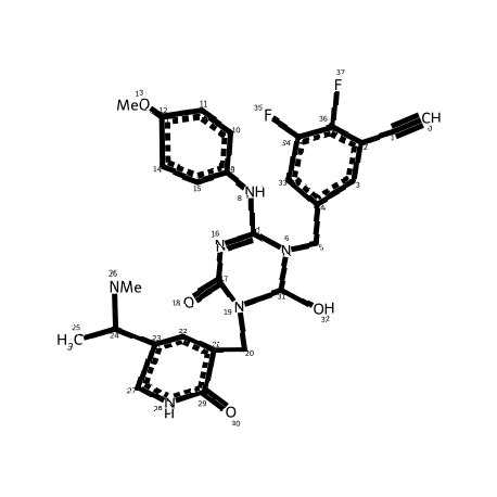 C#Cc1cc(CN2C(Nc3ccc(OC)cc3)=NC(=O)N(Cc3cc(C(C)NC)c[nH]c3=O)C2O)cc(F)c1F